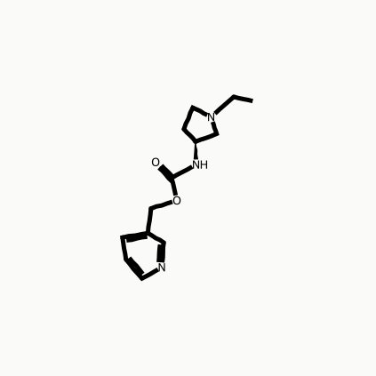 CCN1CC[C@H](NC(=O)OCc2cccnc2)C1